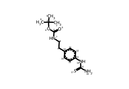 CC(C)(C)OC(=O)NCCc1ccc(NC(N)=S)cc1